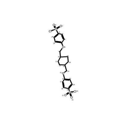 O=S(=O)(Cl)c1ccc(OCC2CCC(COc3ccc(S(=O)(=O)Cl)cc3)CC2)cc1